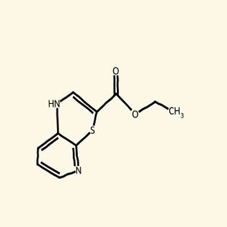 CCOC(=O)C1=CNc2cccnc2S1